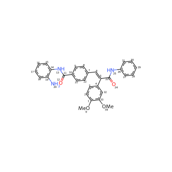 COc1ccc(/C(=C\c2ccc(C(=O)Nc3ccccc3N)cc2)C(=O)Nc2ccccc2)cc1OC